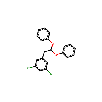 Clc1cc(Cl)cc(CB(Oc2ccccc2)Oc2ccccc2)c1